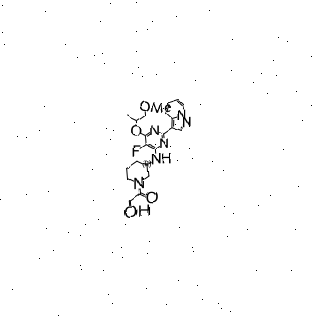 COCC(C)Oc1nc(-c2cnn3ccccc23)nc(N[C@@H]2CCCN(C(=O)CO)C2)c1F